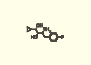 N[C@@H](Cc1ccc(F)cc1)[C@@H](O)[C@@H](O)C1CC1